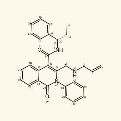 C=CCNCc1c(C(=O)N[C@@H](CC)c2ccccc2)c2ccccc2c(=O)n1-c1ccccc1